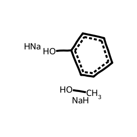 CO.Oc1ccccc1.[NaH].[NaH]